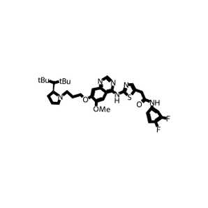 COc1cc2c(Nc3ncc(CC(=O)Nc4ccc(F)c(F)c4)s3)ncnc2cc1OCCCN1CCC[C@H]1[C](C(C)(C)C)C(C)(C)C